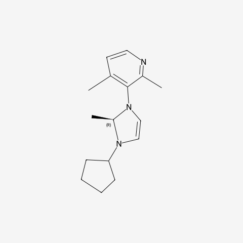 Cc1ccnc(C)c1N1C=CN(C2CCCC2)[C@H]1C